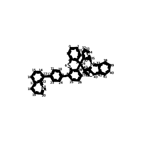 c1ccc2c(c1)Sc1c(-c3ccc(-c4cccc5cccnc45)cc3)cccc1C21c2ccccc2-n2c3ccccc3c3cccc1c32